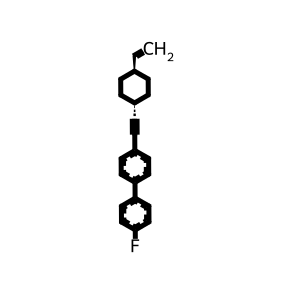 C=C[C@H]1CC[C@H](C#Cc2ccc(-c3ccc(F)cc3)cc2)CC1